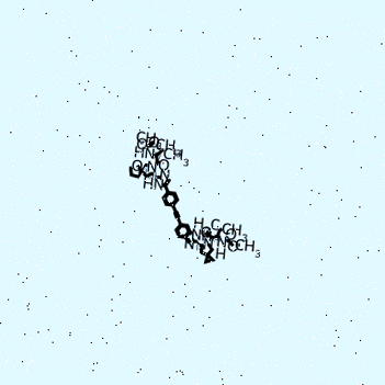 COC(=O)N[C@H](C(=O)N1C[C@]2(CCCO2)C[C@H]1c1ncc(-c2ccc(C#Cc3ccc4nc([C@@H]5CC6(CC6)CN5C(=O)[C@@H](NC(=O)OC)C(C)C)[nH]c4c3)cc2)[nH]1)C(C)C